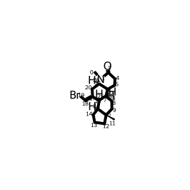 CN1C(=O)CC[C@@H]2[C@H]3CC[C@]4(C)CCC[C@H]4[C@@H]3C(=CBr)C[C@H]21